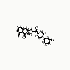 O=C(CCc1cc2cccc(F)c2c(=O)[nH]1)N1CCN(c2cccc(F)c2)CC1